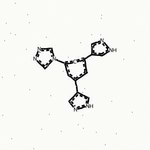 c1n[nH]cc1-c1cc(-c2cn[nH]c2)cc(-n2cnnc2)c1